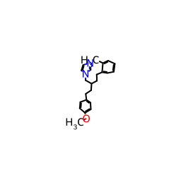 COc1ccc(CCC(CCc2ccccc2C)Cn2ccnc2)cc1